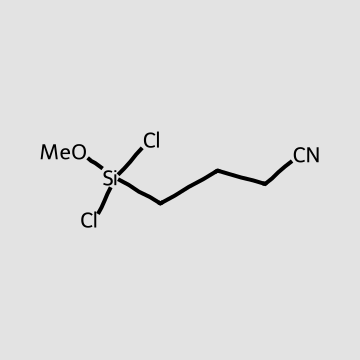 CO[Si](Cl)(Cl)CCCC#N